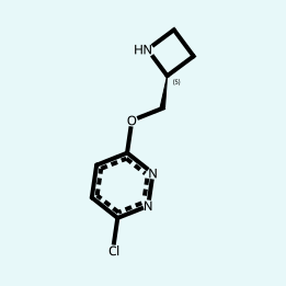 Clc1ccc(OC[C@@H]2CCN2)nn1